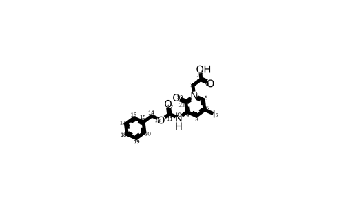 O=C(O)Cn1cc(I)cc(NC(=O)OCc2ccccc2)c1=O